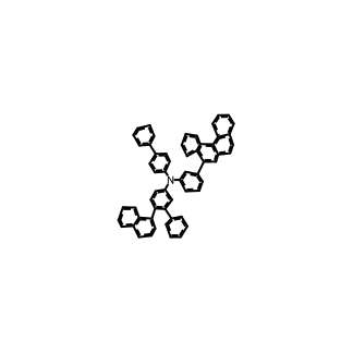 c1ccc(-c2ccc(N(c3cccc(-c4cc5ccc6ccccc6c5c5ccccc45)c3)c3ccc(-c4cccc5ccccc45)c(-c4ccccc4)c3)cc2)cc1